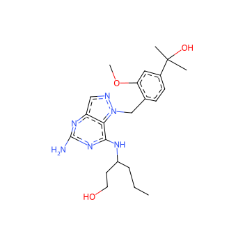 CCCC(CCO)Nc1nc(N)nc2cnn(Cc3ccc(C(C)(C)O)cc3OC)c12